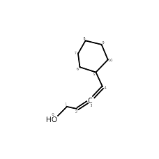 OCC=C=CC1CCCCC1